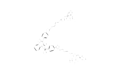 CC1(COCCCCCCOc2ccc(C(=O)Oc3ccccc3OC(=O)c3ccc(OCCCCCCOCC4(C)COC4)cc3)cc2)COC1